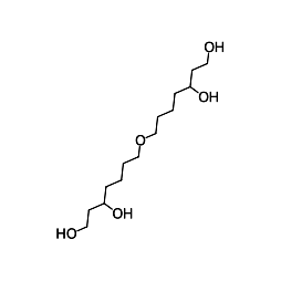 OCCC(O)CCCCOCCCCC(O)CCO